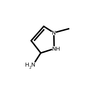 CN1C=CC(N)N1